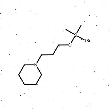 CC(C)(C)[Si](C)(C)OCCCN1C[CH]CCC1